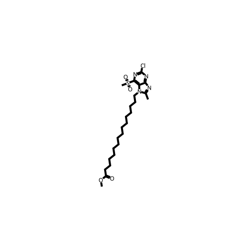 COC(=O)CCCCCCCCCCCCCCCn1c(C)nc2nc(Cl)nc(S(C)(=O)=O)c21